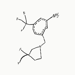 Nc1cc(CN2CCC(F)(F)C2)cc(C(F)(F)F)c1